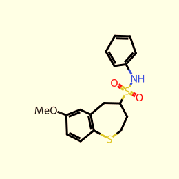 COc1ccc2c(c1)CC(S(=O)(=O)Nc1ccccc1)CCS2